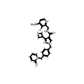 CNc1ccnc(CNC(=O)c2cn(Cc3ccc(Cn4ccccc4=O)cc3)nc2C2COC2)c1F